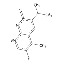 Cc1c(F)c[nH]c2nc(=S)c(C(C)C)cc1-2